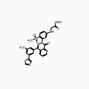 COC(=O)CNc1ccc(S(C)(=O)=O)c(-n2nc(-c3cc(C)cc(-c4cnco4)c3)c3cccnc3c2=O)c1